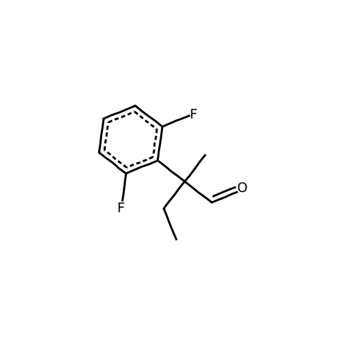 CCC(C)(C=O)c1c(F)cccc1F